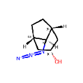 [N-]=[N+]=N[C@@H]1[C@@H]2CC[C@H]1C[C@@H](O)C2